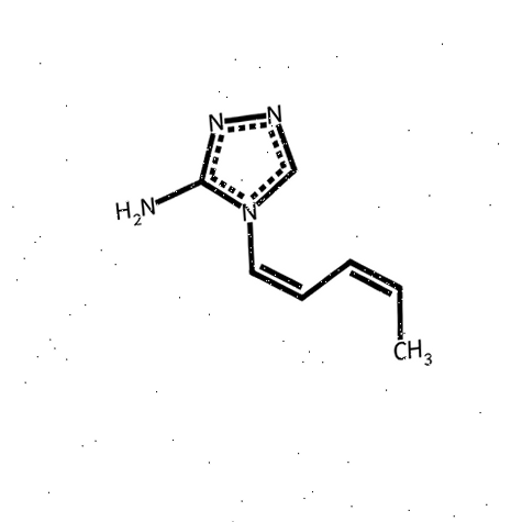 C/C=C\C=C/n1cnnc1N